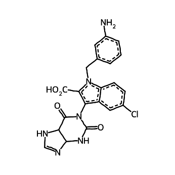 Nc1cccc(Cn2c(C(=O)O)c(N3C(=O)NC4N=CNC4C3=O)c3cc(Cl)ccc32)c1